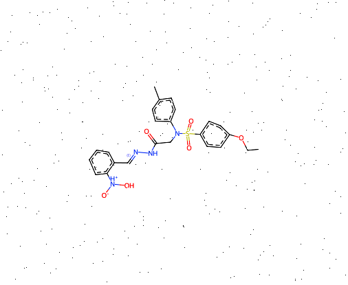 CCOc1ccc(S(=O)(=O)N(CC(=O)N/N=C/c2ccccc2[NH+]([O-])O)c2ccc(C)cc2)cc1